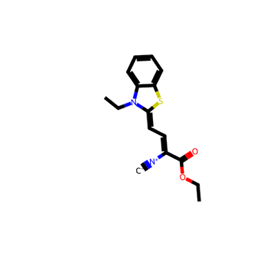 [C-]#[N+]/C(=C\C=C1/Sc2ccccc2N1CC)C(=O)OCC